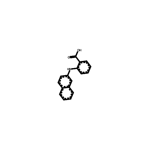 O=C(O)c1ccccc1Nc1ccc2ccccc2c1